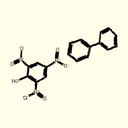 O=[N+]([O-])c1cc([N+](=O)[O-])c(O)c([N+](=O)[O-])c1.c1ccc(-c2ccccc2)cc1